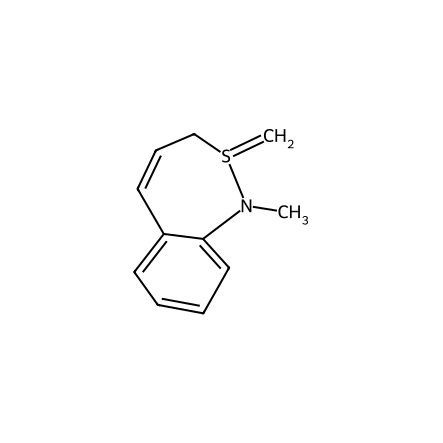 C=S1CC=Cc2ccccc2N1C